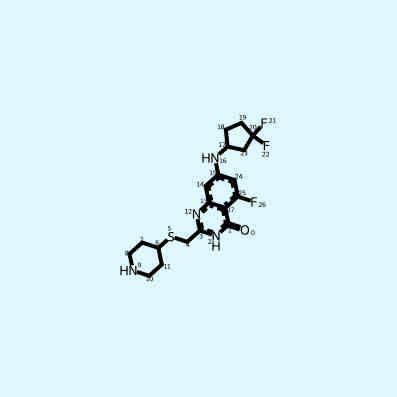 O=c1[nH]c(CSC2CCNCC2)nc2cc(NC3CCC(F)(F)C3)cc(F)c12